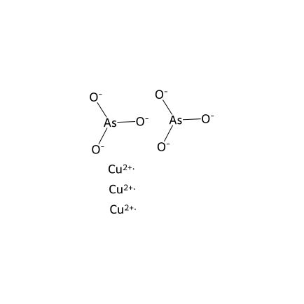 [Cu+2].[Cu+2].[Cu+2].[O-][As]([O-])[O-].[O-][As]([O-])[O-]